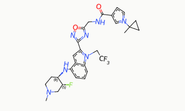 CN1CC[C@@H](Nc2cccc3c2cc(-c2noc(CNC(=O)c4ccn(C5(C)CC5)c4)n2)n3CC(F)(F)F)[C@@H](F)C1